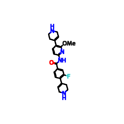 COc1nc(NC(=O)c2ccc(C3=CCNCC3)c(F)c2)ccc1C1=CCNCC1